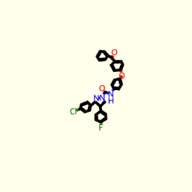 O=C(c1ccccc1)c1ccc(Oc2ccc(NC(=O)N3CC(c4ccc(F)cc4)C(c4ccc(Cl)cc4)=N3)cc2)cc1